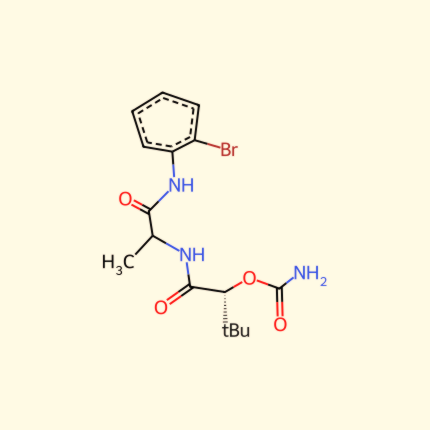 CC(NC(=O)[C@H](OC(N)=O)C(C)(C)C)C(=O)Nc1ccccc1Br